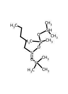 CCCCC[SiH](O[Si](C)(C)C)O[Si](C)(C)O[SiH](C)C